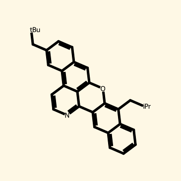 CC(C)Cc1c2c(cc3ccccc13)-c1nccc3c1c(cc1ccc(CC(C)(C)C)cc13)O2